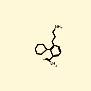 NCCCc1cccc(C(N)=O)c1C1CCCCC1